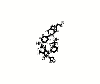 CC(C)(O)c1cccc(-n2c3nc(Nc4ccc(N5CC6CC(CN(CCF)C6)C5)cc4)ncc3c(=O)n2C2COC2)n1